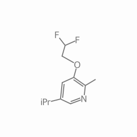 Cc1ncc(C(C)C)cc1OCC(F)F